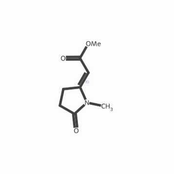 COC(=O)/C=C1\CCC(=O)N1C